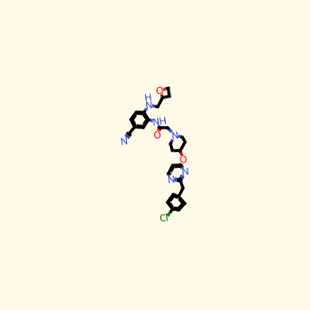 N#Cc1ccc(NCC2CCO2)c(NC(=O)CN2CCC(Oc3ccnc(Cc4ccc(Cl)cc4)n3)CC2)c1